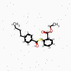 CCCCc1ccc(C(=O)Sc2ccccc2C(=O)OCC)cc1